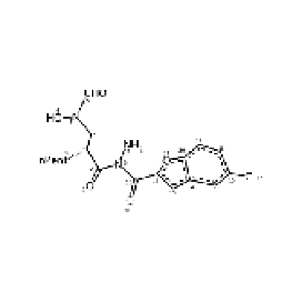 CCCCC[C@H](CN(O)C=O)C(=O)N(N)C(=O)c1cc2cc(Cl)ccc2o1